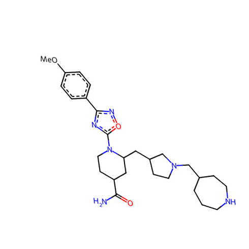 COc1ccc(-c2noc(N3CCC(C(N)=O)CC3CC3CCN(CC4CCCNCC4)C3)n2)cc1